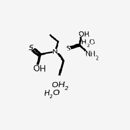 CCN(CC)C(O)=S.NC(O)=S.O.O.O